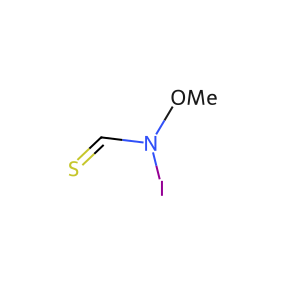 CON(I)C=S